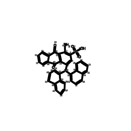 Nc1c(S(=O)(=O)O)cc(N(c2cccc3ccccc23)c2cccc3ccccc23)c2c1C(=O)c1ccccc1C2=O